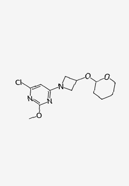 COc1nc(Cl)cc(N2CC(OC3CCCCO3)C2)n1